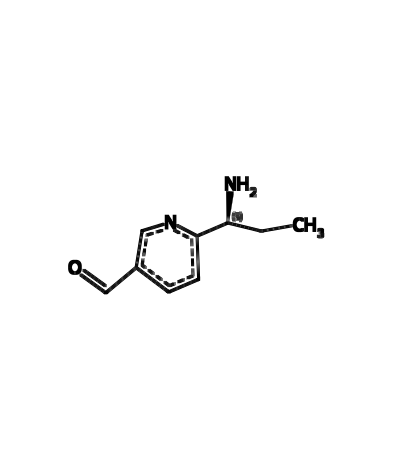 CC[C@H](N)c1ccc(C=O)cn1